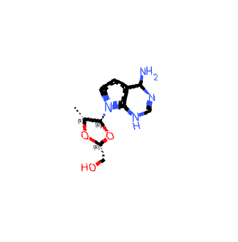 C[C@H]1O[C@@H](CO)O[C@H]1n1ccc2c1NC=NC2N